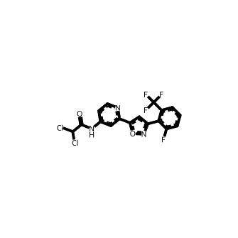 O=C(Nc1ccnc(-c2cc(-c3c(F)cccc3C(F)(F)F)no2)c1)C(Cl)Cl